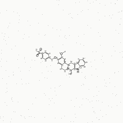 COc1cc2c(cc1OCc1ccc(S(C)(=O)=O)cc1)CCN1C(F)c3[nH]c4ccccc4c3CC21